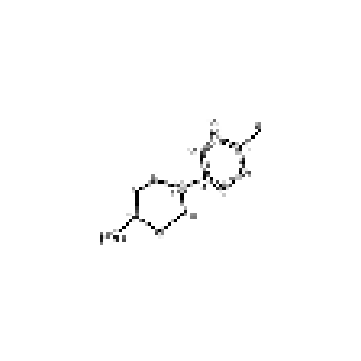 Cc1ccc(N2CCC(S)CC2)cn1